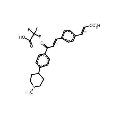 CN1CCC(c2ccc(C(=O)/C=C/c3ccc(/C=C/C(=O)O)cc3)cc2)CC1.O=C(O)C(F)(F)F